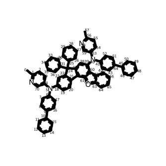 Cc1ccc(N(c2ccc(-c3ccccc3)cc2)c2ccc3c(c2)C(c2ccccc2)(c2ccccc2)c2cc(N(c4ccc(-c5ccccc5)cc4)c4ccc(C)nc4)c4c(oc5ccccc54)c2-3)cn1